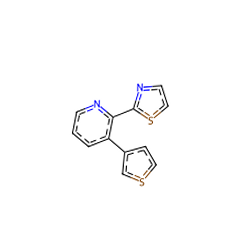 c1cnc(-c2nccs2)c(-c2ccsc2)c1